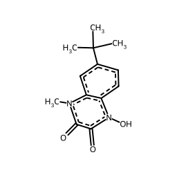 Cn1c(=O)c(=O)n(O)c2ccc(C(C)(C)C)cc21